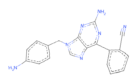 N#Cc1ccccc1-c1nc(N)nc2c1ncn2Cc1ccc(N)cc1